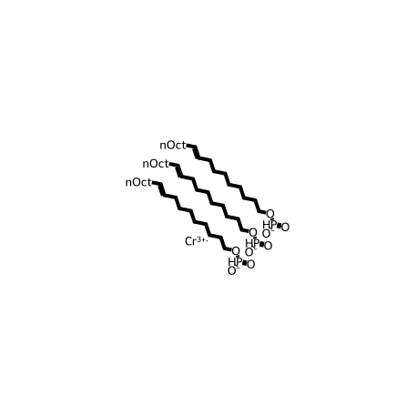 CCCCCCCCC=CCCCCCCCCO[PH](=O)[O-].CCCCCCCCC=CCCCCCCCCO[PH](=O)[O-].CCCCCCCCC=CCCCCCCCCO[PH](=O)[O-].[Cr+3]